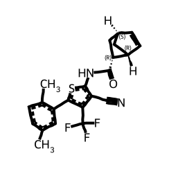 Cc1ccc(C)c(-c2sc(NC(=O)[C@@H]3C[C@H]4C=C[C@H]3C4)c(C#N)c2C(F)(F)F)c1